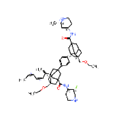 C=C(/C=C\C=C/C)[C@@]12CC3(C(=O)N[C@@H]4CCNC[C@H]4F)CC(c4ccc([C@]56CC7CC(C(=O)N[C@H]8CCN[C@@H](C)C8)(C[C@](COCC)(C7)C5)C6)cc4)(C[C@@](COCC)(C3)C1)C2